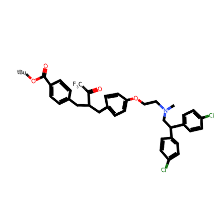 CN(CCOc1ccc(CC(Cc2ccc(C(=O)OC(C)(C)C)cc2)C(=O)C(F)(F)F)cc1)CC(c1ccc(Cl)cc1)c1ccc(Cl)cc1